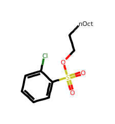 CCCCCCCCCCOS(=O)(=O)c1ccccc1Cl